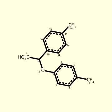 O=C(O)C(Oc1ccc(C(F)(F)F)cc1)c1ccc(C(F)(F)F)cc1